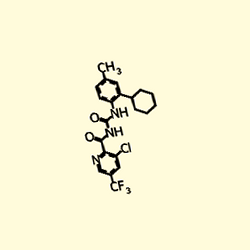 Cc1ccc(NC(=O)NC(=O)c2ncc(C(F)(F)F)cc2Cl)c(C2CCCCC2)c1